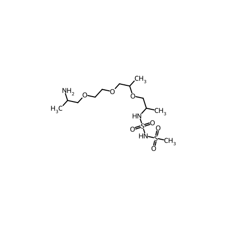 CC(N)COCCOCC(C)OCC(C)NS(=O)(=O)NS(C)(=O)=O